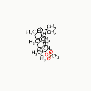 C=C(C)[C@@H]1CC[C@]2(C)CC[C@]3(C)[C@H](CC[C@@H]4[C@@]5(C)CCC(OS(=O)(=O)C(F)(F)F)C(C)(C)[C@@H]5CC[C@]43C)[C@@H]12